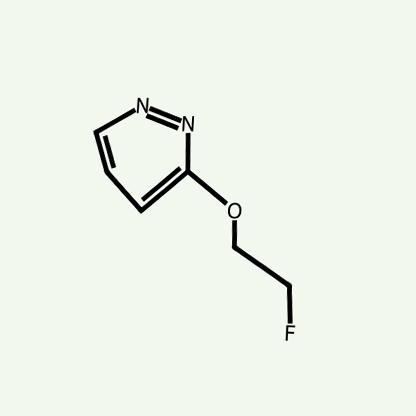 FCCOc1cccnn1